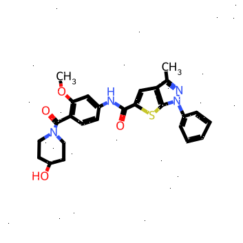 COc1cc(NC(=O)c2cc3c(C)nn(-c4ccccc4)c3s2)ccc1C(=O)N1CCC(O)CC1